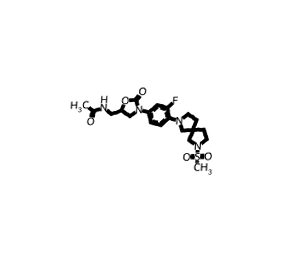 CC(=O)NCC1CN(c2ccc(N3CCC4(CCN(S(C)(=O)=O)C4)C3)c(F)c2)C(=O)O1